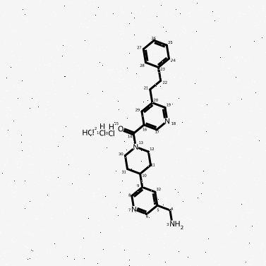 Cl.Cl.Cl.NCc1cncc(C2CCN(C(=O)c3cncc(CCc4ccccc4)c3)CC2)c1